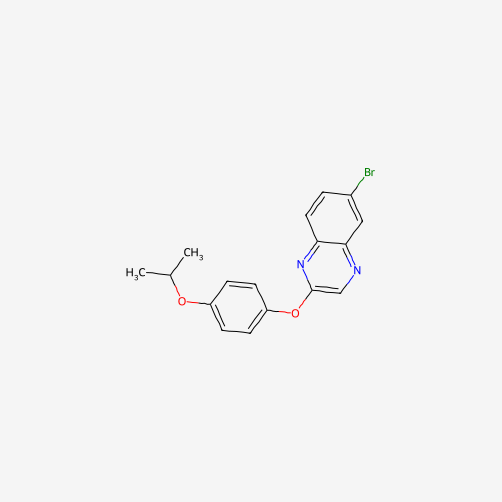 CC(C)Oc1ccc(Oc2cnc3cc(Br)ccc3n2)cc1